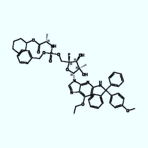 CCOc1nc(NC(c2ccccc2)(c2ccccc2)c2ccc(OC)cc2)nc2c1ncn2[C@@H]1O[C@](F)(COP(=O)(N[C@@H](C)C(=O)OC2CCCCC2)OCc2ccccc2)[C@@H](O)[C@@]1(C)O